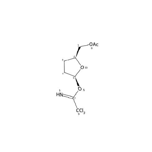 CC(=O)OC[C@@H]1CC[C@H](OC(=N)C(Cl)(Cl)Cl)O1